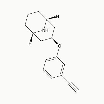 C#Cc1cccc(O[C@@H]2C[C@H]3CCC[C@@H](C2)N3)c1